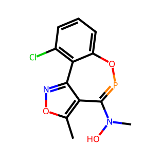 Cc1onc2c1C(N(C)O)=POc1cccc(Cl)c1-2